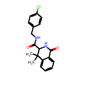 CC1(C)c2cc[c]cc2C(=O)NC1C(=O)NCc1ccc(Cl)cc1